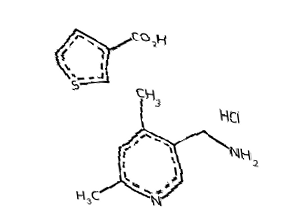 Cc1cc(C)c(CN)cn1.Cl.O=C(O)c1ccsc1